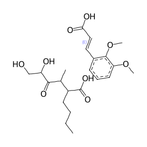 CCCCC(C(=O)O)C(C)C(=O)C(O)CO.COc1cccc(/C=C/C(=O)O)c1OC